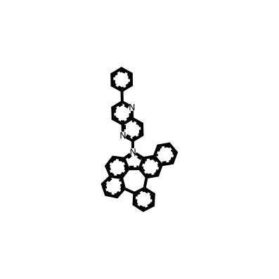 c1ccc(-c2ccc3nc(-n4c5ccc6cccc7c6c5c5c(cc6ccccc6c54)-c4ccccc4-7)ccc3n2)cc1